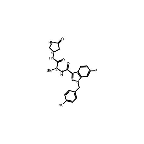 CC(C)(C)[C@H](NC(=O)c1nn(Cc2ccc(C#N)cc2)c2cc(F)ccc12)C(=O)N[C@H]1CNC(=O)C1